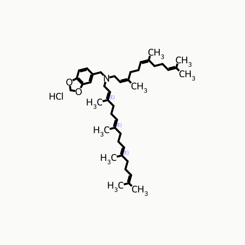 CC(C)=CCCC(C)=CCCC(C)=CCN(C/C=C(\C)CC/C=C(\C)CC/C=C(\C)CCC=C(C)C)Cc1ccc2c(c1)OCO2.Cl